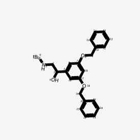 CC(C)(C)NCC(O)c1cc(OCc2ccccc2)cc(OCc2ccccc2)c1